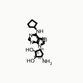 Cl.N[C@H]1C[C@@H](n2cnc3c(NC4CCCC4)ncnc32)[C@H](O)[C@@H]1O